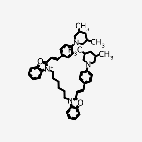 CC1CC(C)CN(c2ccc(/C=C/c3oc4ccccc4[n+]3CCCCCC[n+]3c(/C=C/c4ccc(N5CC(C)CC(C)C5)cc4)oc4ccccc43)cc2)C1